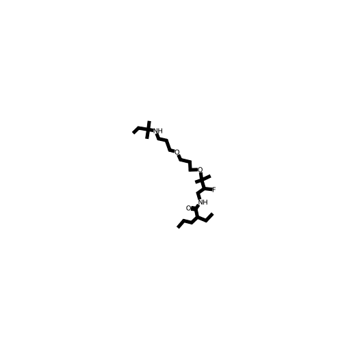 CCCC(CC)C(=O)NCC(F)C(C)(C)OCCCOCCCNC(C)(C)CC